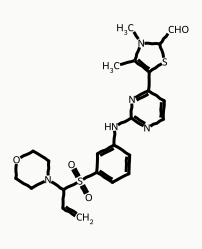 C=CC(N1CCOCC1)S(=O)(=O)c1cccc(Nc2nccc(C3=C(C)N(C)C(C=O)S3)n2)c1